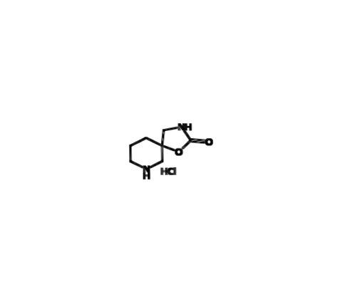 Cl.O=C1NCC2(CCCNC2)O1